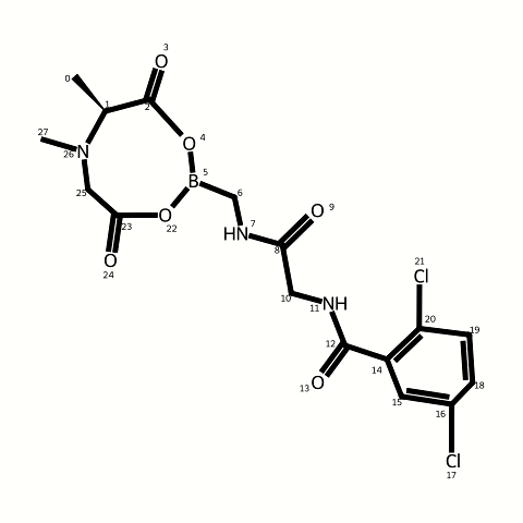 C[C@H]1C(=O)OB(CNC(=O)CNC(=O)c2cc(Cl)ccc2Cl)OC(=O)CN1C